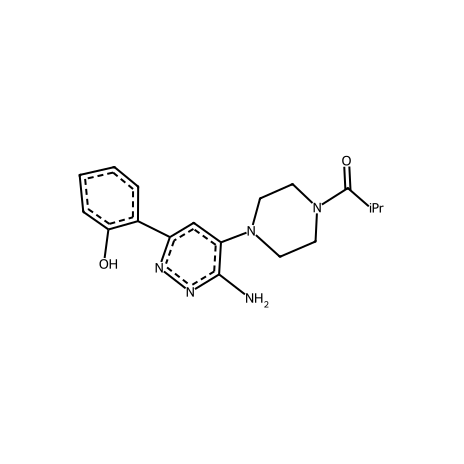 CC(C)C(=O)N1CCN(c2cc(-c3ccccc3O)nnc2N)CC1